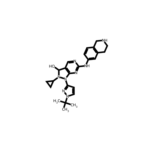 CC(C)(C)n1ccc(N2c3nc(Nc4ccc5c(c4)CCNC5)ncc3C(O)N2C2CC2)n1